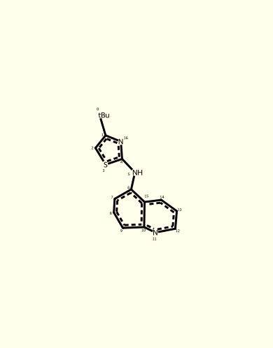 CC(C)(C)c1csc(Nc2cccc3ncccc23)n1